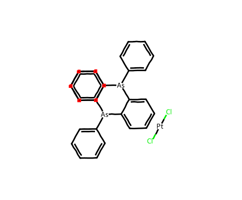 [Cl][Pt][Cl].c1ccc([As](c2ccccc2)c2ccccc2[As](c2ccccc2)c2ccccc2)cc1